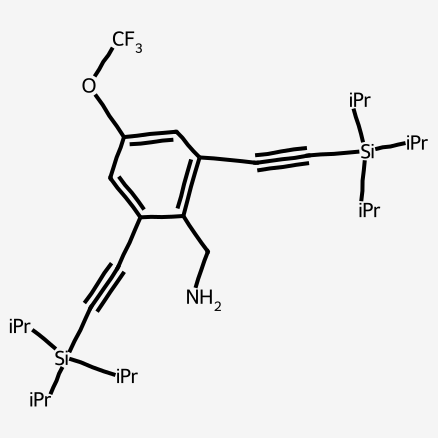 CC(C)[Si](C#Cc1cc(OC(F)(F)F)cc(C#C[Si](C(C)C)(C(C)C)C(C)C)c1CN)(C(C)C)C(C)C